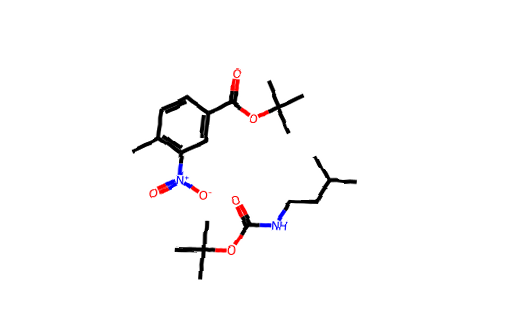 CC(C)CCNC(=O)OC(C)(C)C.Cc1ccc(C(=O)OC(C)(C)C)cc1[N+](=O)[O-]